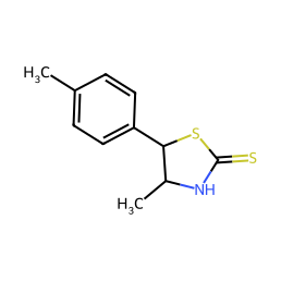 Cc1ccc(C2SC(=S)NC2C)cc1